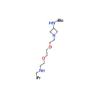 CCC(C)NC1CN(CCOCCOCCNCC(C)C)C1